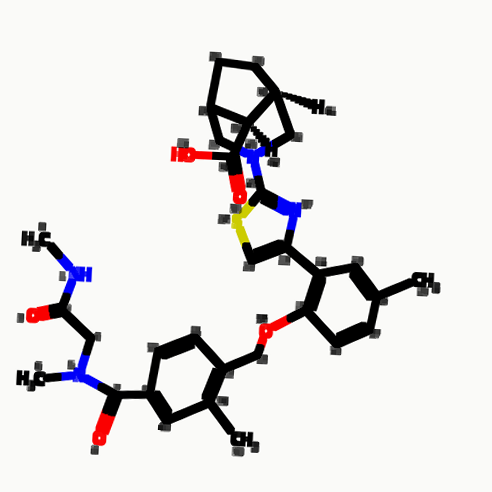 CNC(=O)CN(C)C(=O)c1ccc(COc2ccc(C)cc2-c2csc(N3CC4CC[C@@H](C3)[C@H]4C(=O)O)n2)c(C)c1